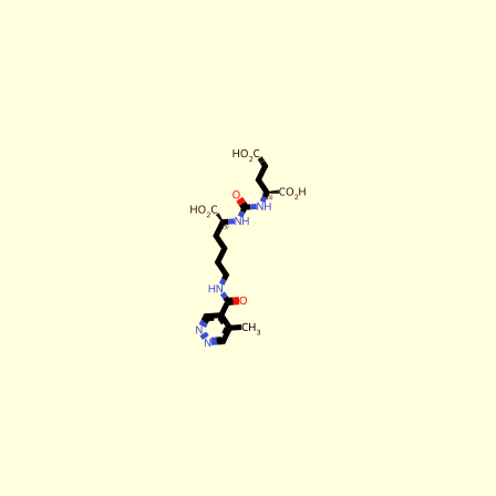 Cc1cnncc1C(=O)NCCCC[C@H](NC(=O)N[C@@H](CCC(=O)O)C(=O)O)C(=O)O